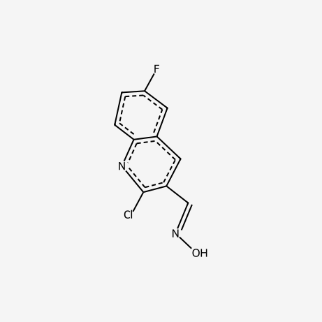 ON=Cc1cc2cc(F)ccc2nc1Cl